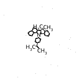 C/C=C(\C)c1ccc(-n2c3c(c4ccc5ccccc5c42)C(C)(C)c2ccccc2-3)cc1